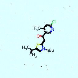 C=C(C)C1=CN(CCCC)/C(=C/C(=O)c2cnc(Cl)cc2C(F)(F)F)S1